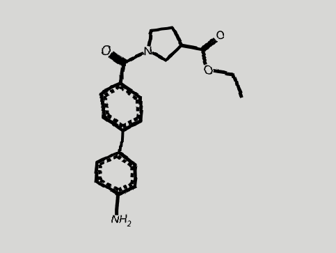 CCOC(=O)C1CCN(C(=O)c2ccc(-c3ccc(N)cc3)cc2)C1